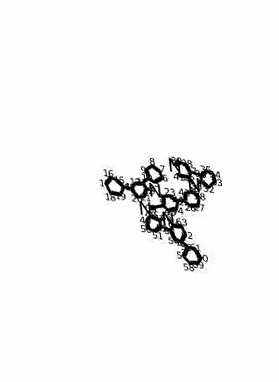 N#Cc1c(-n2c3ccccc3c3cc(-c4ccccc4)ccc32)cc(-c2cccc(-n3c4ccccc4c4ccncc43)c2)cc1-n1c2ccccc2c2cc(-c3ccccc3)ccc21